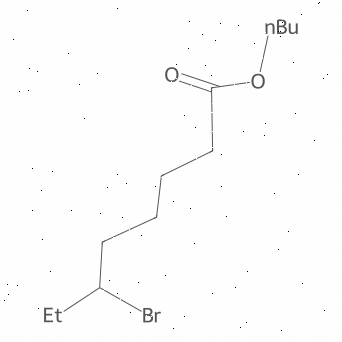 CCCCOC(=O)CCCCC(Br)CC